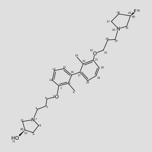 Cc1c(OCCCN2CC[C@@H](O)C2)cccc1-c1cccc(OCCCN2CC[C@@H](F)C2)c1C